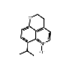 CC(C)c1ccc2c3c(cc[n+]([O-])c13)CCO2